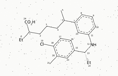 CCC(CCCC(C)c1cccc(N[C@H](CC)c2ccc(Cl)c(C)c2)c1)C(=O)O